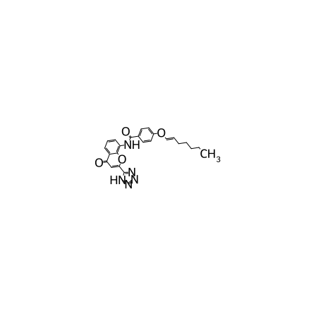 CCCCCC=COc1ccc(C(=O)Nc2cccc3c(=O)cc(-c4nnn[nH]4)oc23)cc1